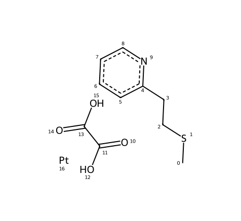 CSCCc1ccccn1.O=C(O)C(=O)O.[Pt]